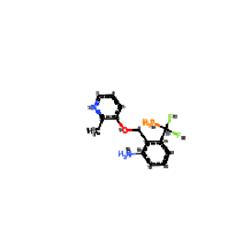 Cc1ncccc1OCc1c(N)cccc1C(F)(F)P